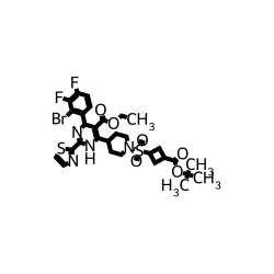 CCOC(=O)C1=C(C2CCN(S(=O)(=O)C3CC(C(=O)OC(C)(C)C)C3)CC2)NC(c2nccs2)=NC1c1ccc(F)c(F)c1Br